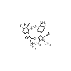 C[C@H]1Oc2nc(cnc2N)-c2c(nn(C)c2C#N)CC(CN(C)C)C(=O)c2ccc(F)cc21